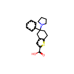 O=C(O)c1cc2c(s1)CCC(c1ccccc1)(N1CCCC1)C2